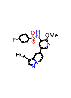 C#Cc1cnn2ccc(-c3cnc(OC)c(NS(=O)(=O)c4ccc(F)cc4)c3)cc12